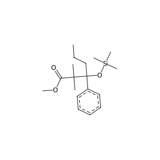 CCCC(O[Si](C)(C)C)(c1ccccc1)C(C)(C)C(=O)OC